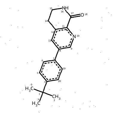 CC(C)(C)c1ccc(-c2cnc3c(c2)CCNC3=O)cc1